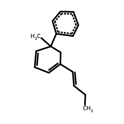 CCC=CC1=CC=CC(C)(c2ccccc2)C1